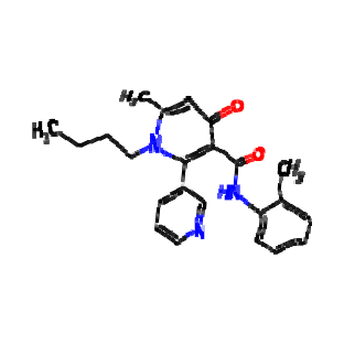 CCCCn1c(C)cc(=O)c(C(=O)Nc2ccccc2C)c1-c1cccnc1